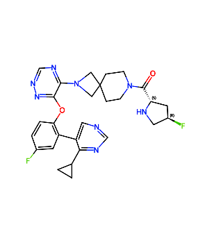 O=C([C@@H]1C[C@@H](F)CN1)N1CCC2(CC1)CN(c1ncnnc1Oc1ccc(F)cc1-c1cncnc1C1CC1)C2